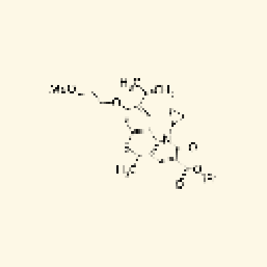 C=C(C)c1cc2c(cc1OCCCOC)SC(C)c1cc(C(=O)OC(C)C)c(=O)n(C3CC3)c1-2